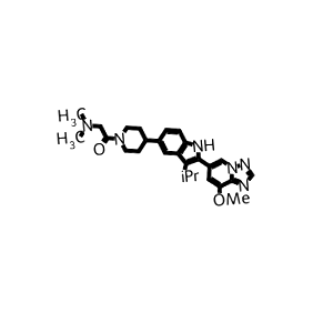 COc1cc(-c2[nH]c3ccc(C4CCN(C(=O)CN(C)C)CC4)cc3c2C(C)C)cn2ncnc12